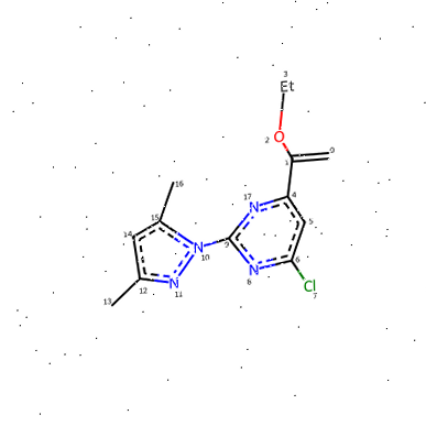 C=C(OCC)c1cc(Cl)nc(-n2nc(C)cc2C)n1